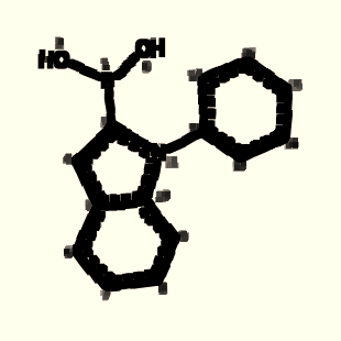 OB(O)c1cc2ccccc2n1-c1ccccc1